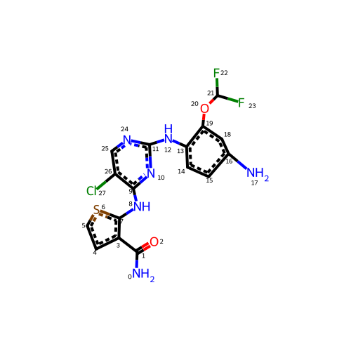 NC(=O)c1ccsc1Nc1nc(Nc2ccc(N)cc2OC(F)F)ncc1Cl